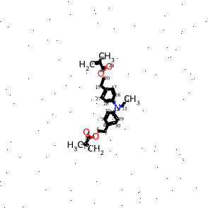 C=C(C)C(=O)OCCc1ccc(N(CC)c2ccc(CCOC(=O)C(=C)C)cc2)cc1